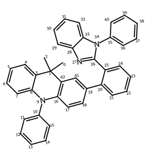 CC1(C)c2ccccc2N(c2ccccc2)c2ccc(-c3ccccc3-c3nc4ccccc4n3-c3ccccc3)cc21